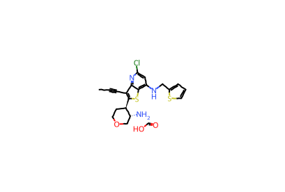 CC#Cc1c([C@@H]2CCOC[C@H]2N)sc2c(NCc3cccs3)cc(Cl)nc12.O=CO